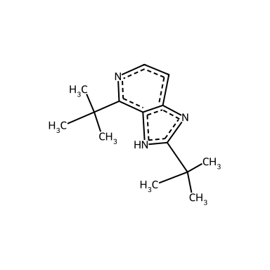 CC(C)(C)c1nc2ccnc(C(C)(C)C)c2[nH]1